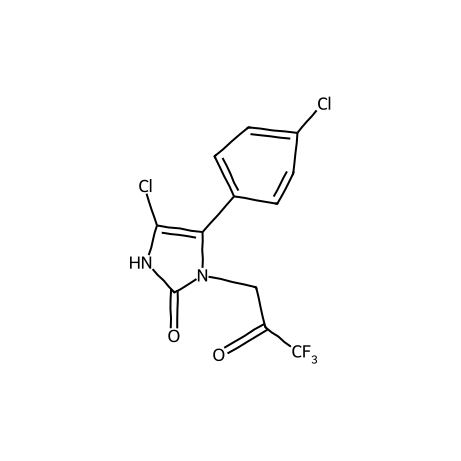 O=C(Cn1c(-c2ccc(Cl)cc2)c(Cl)[nH]c1=O)C(F)(F)F